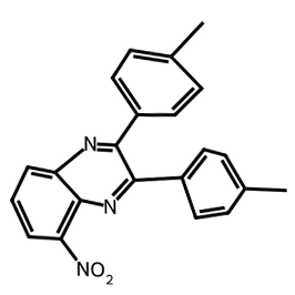 Cc1ccc(-c2nc3cccc([N+](=O)[O-])c3nc2-c2ccc(C)cc2)cc1